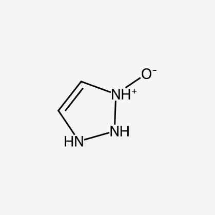 [O-][NH+]1C=CNN1